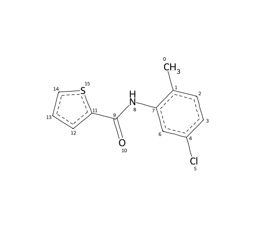 Cc1ccc(Cl)cc1NC(=O)c1cccs1